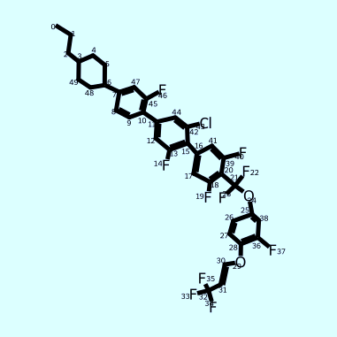 CCCC1CCC(c2ccc(-c3cc(F)c(-c4cc(F)c(C(F)(F)Oc5ccc(O/C=C/C(F)(F)F)c(F)c5)c(F)c4)c(Cl)c3)c(F)c2)CC1